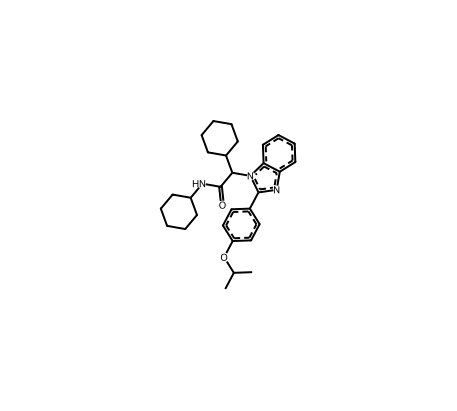 CC(C)Oc1ccc(-c2nc3ccccc3n2C(C(=O)NC2CCCCC2)C2CCCCC2)cc1